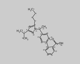 CCCCc1nc(C(C)C)nn1C(C)c1ccc(-c2ccccc2C(=O)O)nc1